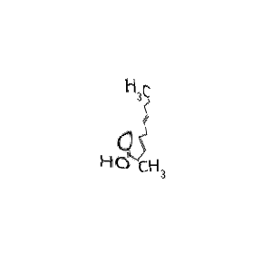 CCCC=CCC=CC(C)C(=O)O